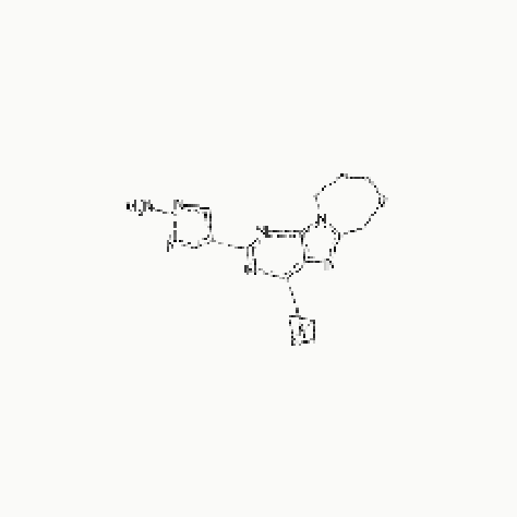 Nc1ncc(-c2nc(N3CC4CC3C4)c3nc4n(c3n2)CCCOC4)cn1